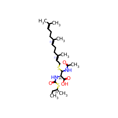 CC[C@H](C)SC(=O)N[C@H](C(=O)O)C(NC(C)=O)SC/C=C(\C)CC/C=C(\C)CCC=C(C)C